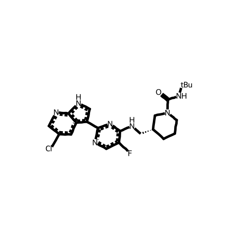 CC(C)(C)NC(=O)N1CCC[C@H](CNc2nc(-c3c[nH]c4ncc(Cl)cc34)ncc2F)C1